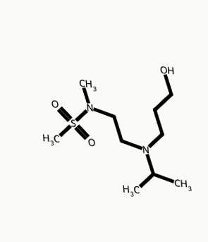 CC(C)N(CCCO)CCN(C)S(C)(=O)=O